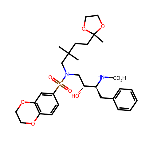 CC(C)(CCC1(C)OCCO1)CN(C[C@@H](O)[C@H](Cc1ccccc1)NC(=O)O)S(=O)(=O)c1ccc2c(c1)OCCO2